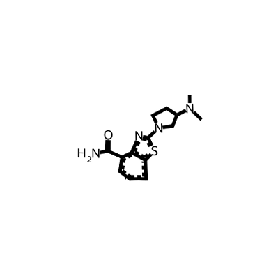 CN(C)C1CCN(c2nc3c(C(N)=O)c[c]cc3s2)C1